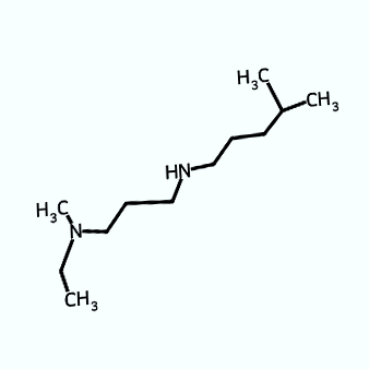 CCN(C)CCCNCCCC(C)C